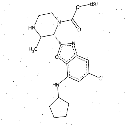 CC1NCCN(C(=O)OC(C)(C)C)[C@@H]1c1nc2cc(Cl)cc(NC3CCCC3)c2o1